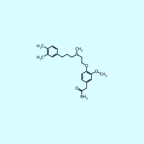 COc1cc(CC(N)=O)ccc1OCCN(C)CCCc1ccc(C)c(C)c1